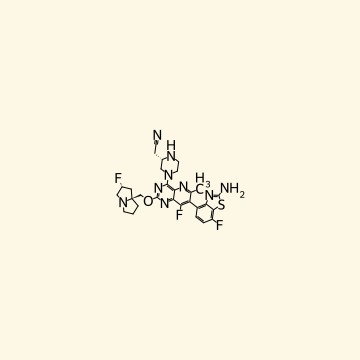 Cc1nc2c(N3CCN[C@@H](CC#N)C3)nc(OC[C@@]34CCCN3C[C@H](F)C4)nc2c(F)c1-c1ccc(F)c2sc(N)nc12